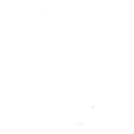 CCC1CCC(c2ccc(-c3ccc(OC)c(F)c3F)cc2)CC1